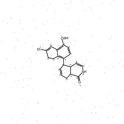 CCC1=Nc2c(OC)ccc(C3C=CCC4C(=O)NC=CC43)c2CC1